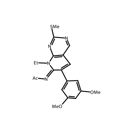 CCn1/c(=N\C(C)=O)c(-c2cc(OC)cc(OC)c2)cc2cnc(SC)nc21